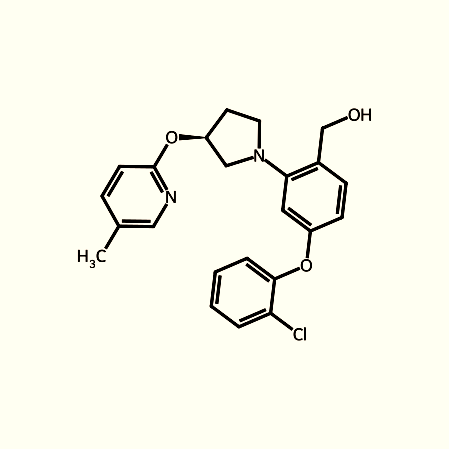 Cc1ccc(O[C@H]2CCN(c3cc(Oc4ccccc4Cl)ccc3CO)C2)nc1